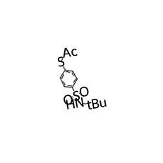 CC(=O)Sc1ccc(S(=O)(=O)NC(C)(C)C)cc1